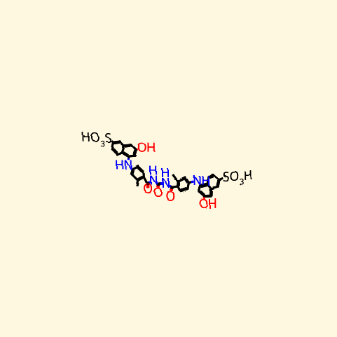 Cc1cc(Nc2cc(O)cc3cc(S(=O)(=O)O)ccc23)ccc1C(=O)NC(=O)NC(=O)c1ccc(Nc2cc(O)cc3cc(S(=O)(=O)O)ccc23)cc1C